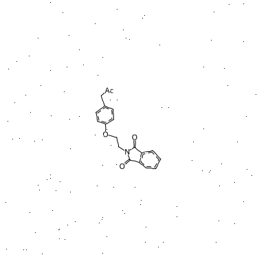 CC(=O)Cc1ccc(OCCN2C(=O)c3ccccc3C2=O)cc1